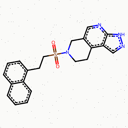 O=S(=O)(CCc1cccc2ccccc12)N1CCc2c(cnc3[nH]ncc23)C1